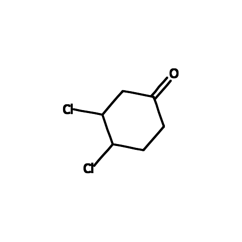 O=C1CCC(Cl)C(Cl)C1